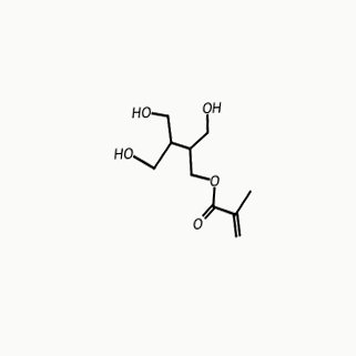 C=C(C)C(=O)OCC(CO)C(CO)CO